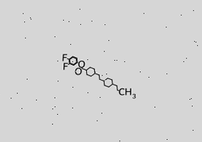 CCCC1CCC(CCC2CCC(C(=O)Oc3ccc(F)c(F)c3)CC2)CC1